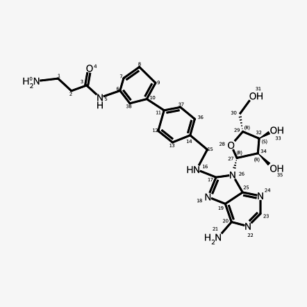 NCCC(=O)Nc1cccc(-c2ccc(CNc3nc4c(N)ncnc4n3[C@@H]3O[C@H](CO)[C@@H](O)[C@H]3O)cc2)c1